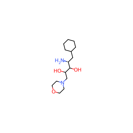 N[C@@H](CC1CCCCC1)C(O)C(O)CN1CCOCC1